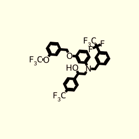 OC(CN(Cc1cccc(C(F)(F)C(F)(F)F)c1)c1cccc(OCc2cccc(OC(F)(F)F)c2)c1)c1ccc(C(F)(F)F)cc1